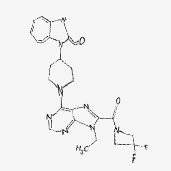 CCn1c(C(=O)N2CC(F)(F)C2)nc2c(N3CCC(N4C(=O)[N]c5ccccc54)CC3)ncnc21